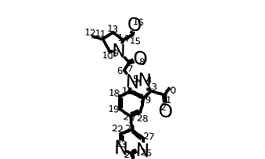 CC(=O)c1nn(CC(=O)N2CC(C)CC2C=O)c2ccc(-c3cnc(C)nc3)cc12